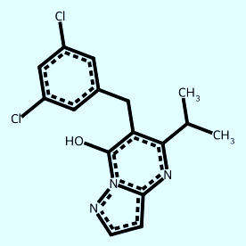 CC(C)c1nc2ccnn2c(O)c1Cc1cc(Cl)cc(Cl)c1